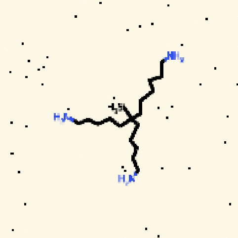 NCCCCCCC([SiH3])(CCCCCN)CCCCCN